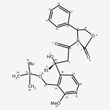 CC[C@@](O)(CC(=O)N1C(=O)OCC1c1ccccc1)c1ccnc(OC)c1CO[Si](C)(C)C(C)(C)C